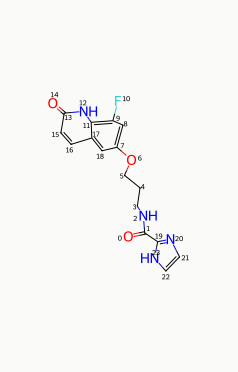 O=C(NCCCOc1cc(F)c2[nH]c(=O)ccc2c1)c1ncc[nH]1